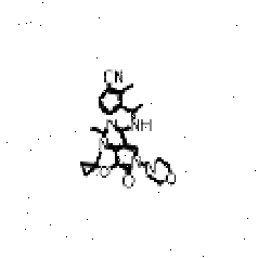 Cc1nc(NC(C)c2cccc(C#N)c2C)c2cn(N3CCOCC3)c(=O)c(OC3(C)CC3)c2n1